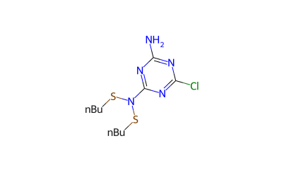 CCCCSN(SCCCC)c1nc(N)nc(Cl)n1